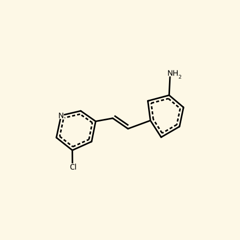 Nc1cccc(C=Cc2cncc(Cl)c2)c1